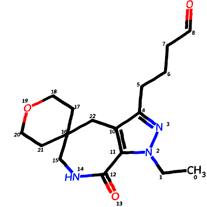 CCn1nc(CCCC=O)c2c1C(=O)NCC1(CCOCC1)C2